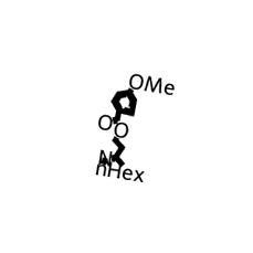 CCCCCCN=C(C)CCOC(=O)c1ccc(OC)cc1